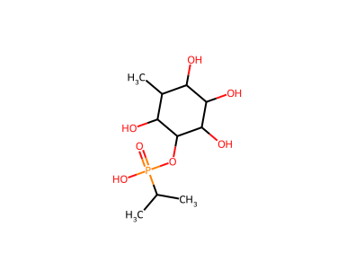 CC1C(O)C(O)C(O)C(OP(=O)(O)C(C)C)C1O